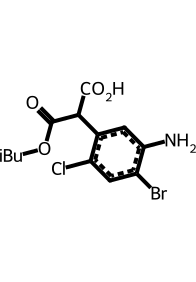 CCC(C)OC(=O)C(C(=O)O)c1cc(N)c(Br)cc1Cl